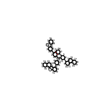 c1ccc(-c2ccc(-c3cccc4c3ccc3ccccc34)cc2N(c2ccc(-c3ccc4oc5ccccc5c4c3)cc2)c2ccc(-c3cccc4oc5c6ccccc6ccc5c34)cc2)cc1